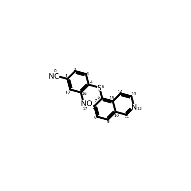 N#Cc1ccc(Sc2cccc3cnccc23)c([N+](=O)[O-])c1